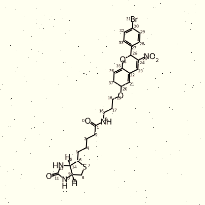 O=C(CCCCC1SC[C@@H]2NC(=O)N[C@H]12)NCCCOC1C=C2C=C([N+](=O)[O-])C(c3ccc(Br)cc3)OC2=CC1